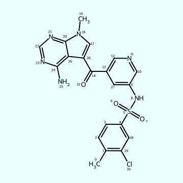 Cc1ccc(S(=O)(=O)Nc2cncc(C(=O)c3cn(C)c4ncnc(N)c34)c2)cc1Cl